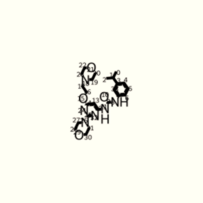 CC(C)c1cccc(NC(=O)Nc2cc(OCCN3CCOCC3)nc(N3CCOCC3)n2)c1